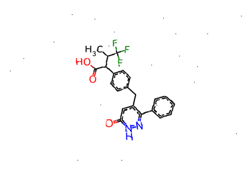 CC(C(C(=O)O)c1ccc(Cc2cc(=O)[nH]nc2-c2ccccc2)cc1)C(F)(F)F